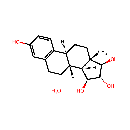 C[C@]12CC[C@@H]3c4ccc(O)cc4CC[C@H]3[C@@H]1[C@H](O)[C@@H](O)[C@@H]2O.O